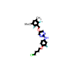 COc1cc(C)c(F)c(COc2cnc(Nc3ccc(OCCCCCl)c(F)c3)nc2)c1F